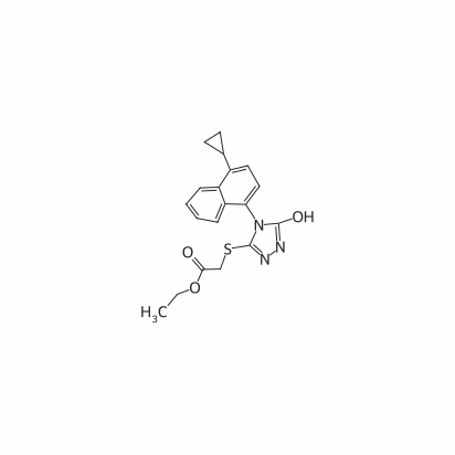 CCOC(=O)CSc1nnc(O)n1-c1ccc(C2CC2)c2ccccc12